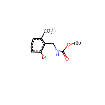 CC(C)(C)OC(=O)NCc1c(Br)cccc1C(=O)O